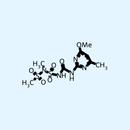 COc1cc(C)nc(NC(=O)NS(=O)(=O)N(C)S(C)(=O)=O)n1